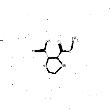 COC(=O)[C@H]1NCCN[C@@H]1C(=O)O